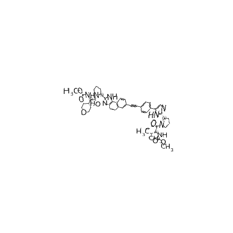 COC(=O)N[C@@H](C1CCOCC1)C(O)N1CCC[C@H]1c1nc2ccc3cc(C#Cc4ccc(-c5cnc([C@@H]6CCCN6C(=O)[C@@H](NC(=O)OC)C(C)C)[nH]5)cc4)ccc3c2[nH]1